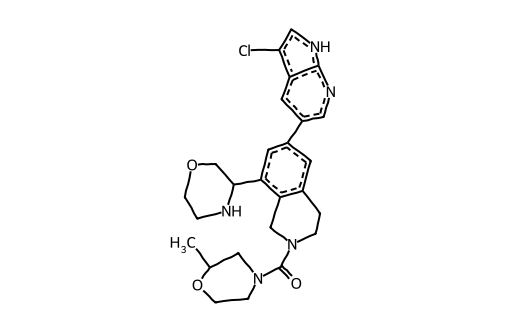 CC1CN(C(=O)N2CCc3cc(-c4cnc5[nH]cc(Cl)c5c4)cc(C4COCCN4)c3C2)CCO1